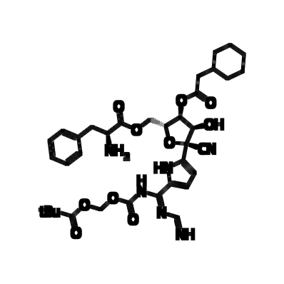 CC(C)(C)C(=O)OCOC(=O)N/C(=N/C=N)c1ccc([C@]2(C#N)O[C@H](COC(=O)[C@@H](N)Cc3ccccc3)[C@@H](OC(=O)CC3CCCCC3)[C@H]2O)[nH]1